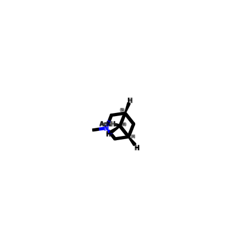 CC(=O)N[C@H]1[C@@H]2C[C@H]1CN(C)C2